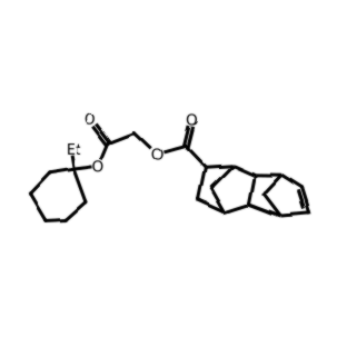 CCC1(OC(=O)COC(=O)C2CC3CC2C2C4C=CC(C4)C32)CCCCC1